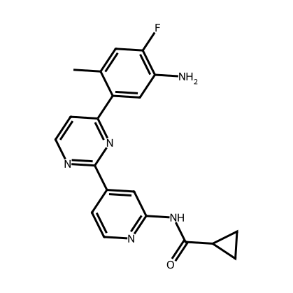 Cc1cc(F)c(N)cc1-c1ccnc(-c2ccnc(NC(=O)C3CC3)c2)n1